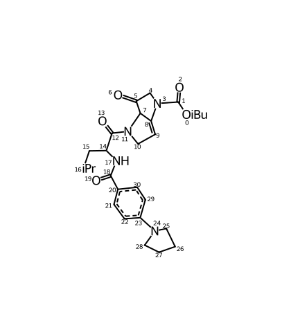 CC(C)COC(=O)N1CC(=O)C2C1=CCN2C(=O)C(CC(C)C)NC(=O)c1ccc(N2CCCC2)cc1